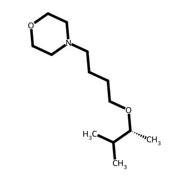 CC(C)[C@@H](C)OCCCCN1CCOCC1